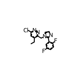 CCc1cc(Cl)nnc1Cn1ccnc1-c1cc(F)ccc1F